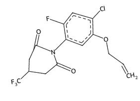 C=CCOc1cc(N2C(=O)CC(C(F)(F)F)CC2=O)c(F)cc1Cl